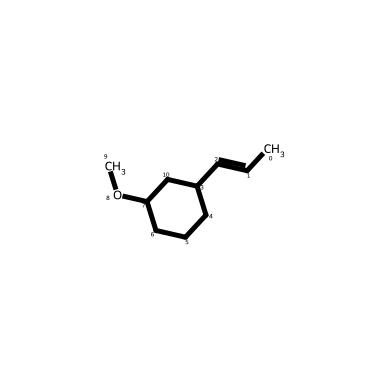 C/C=C/C1CCCC(OC)C1